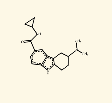 CN(C)C1CCc2[nH]c3ccc(C(=O)NC4CC4)cc3c2C1